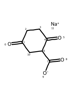 O=C1CCC(=O)C(C(=O)[O-])C1.[Na+]